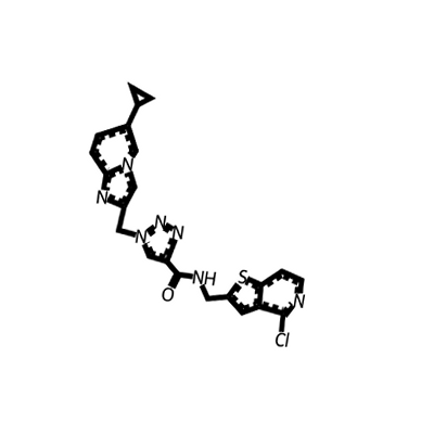 O=C(NCc1cc2c(Cl)nccc2s1)c1cn(Cc2cn3cc(C4CC4)ccc3n2)nn1